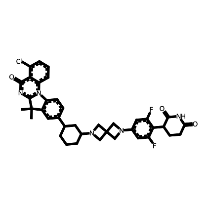 CC1(C)c2cc(C3CCCC(N4CC5(CN(c6cc(F)c(C7CCC(=O)NC7=O)c(F)c6)C5)C4)C3)ccc2-n2c1nc(=O)c1c(Cl)cccc12